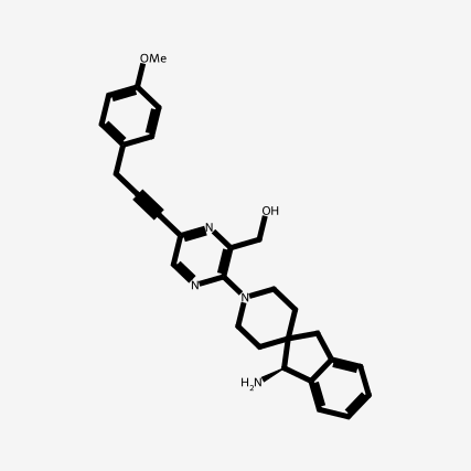 COc1ccc(CC#Cc2cnc(N3CCC4(CC3)Cc3ccccc3[C@H]4N)c(CO)n2)cc1